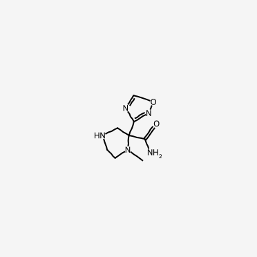 CN1CCNCC1(C(N)=O)c1ncon1